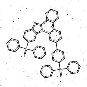 O=P(c1ccccc1)(c1ccccc1)c1ccc(-c2ccc3c4ccccc4c4nc5ccc(P(=S)(c6ccccc6)c6ccccc6)cc5n4c3c2)cc1